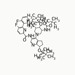 CC1CN(c2c(NC(=O)c3ccc(F)c(-c4c(F)cccc4F)n3)cnc3c2CCC3O[Si](C)(C)C(C)(C)C)CC(NC(=O)OC(C)(C)C)C1O[Si](C)(C)C(C)(C)C